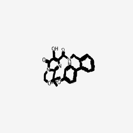 COc1ccc(-c2ccccc2CNC(=O)c2nc3n(c(=O)c2O)CCOC3(C)C)cc1